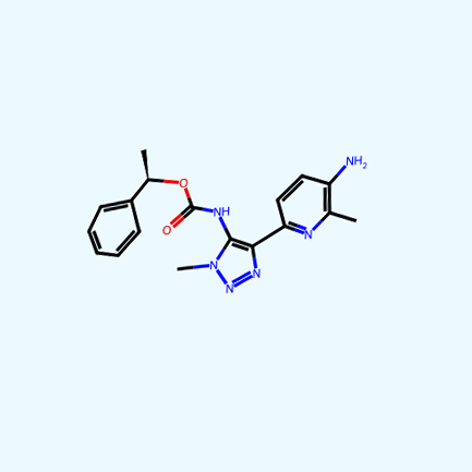 Cc1nc(-c2nnn(C)c2NC(=O)O[C@H](C)c2ccccc2)ccc1N